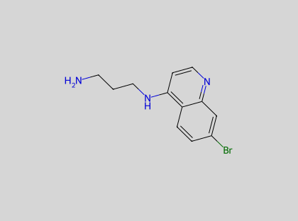 NCCCNc1ccnc2cc(Br)ccc12